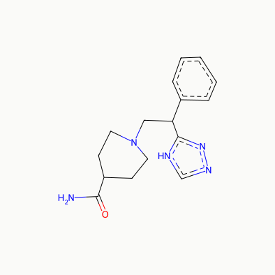 NC(=O)C1CCN(CC(c2ccccc2)c2nnc[nH]2)CC1